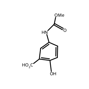 COC(=O)Nc1ccc(O)c(C(=O)O)c1